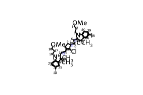 COCCCN1/C(=C/C=C2\CCC(/C=C/C3=[N+](CCCOC)c4ccc(I)cc4C3(C)C)=C2Cl)C(C)(C)c2cc(I)ccc21